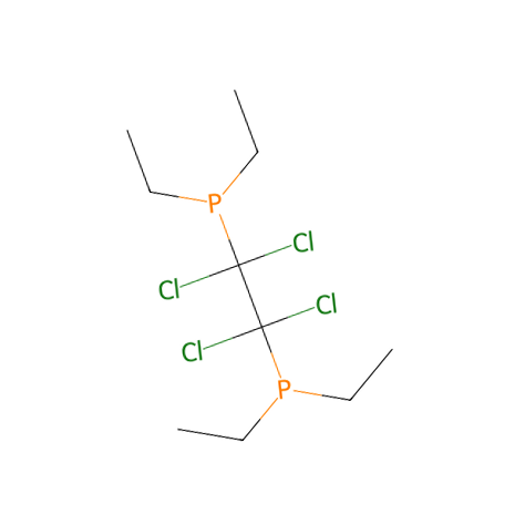 CCP(CC)C(Cl)(Cl)C(Cl)(Cl)P(CC)CC